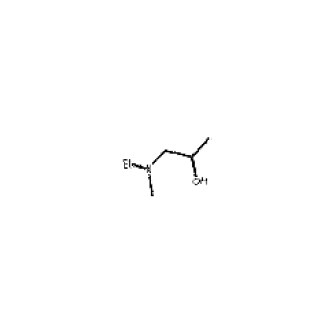 [CH2]C(O)CN(C)CC